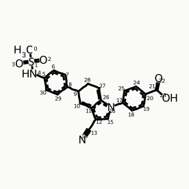 CS(=O)(=O)Nc1ccc(C2C=c3c(C#N)cn(-c4ccc(C(=O)O)cc4)c3=CC2)cc1